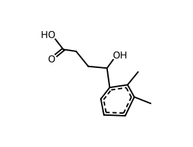 Cc1cccc(C(O)CCC(=O)O)c1C